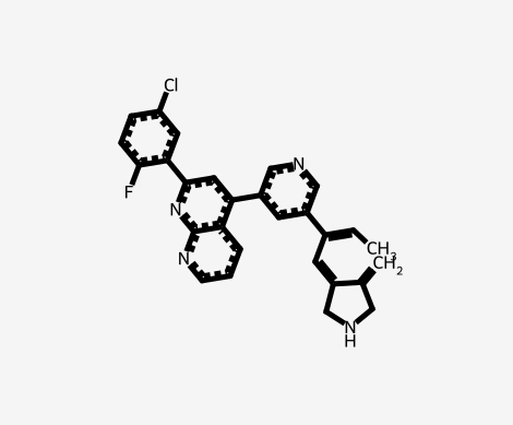 C=C1CNC/C1=C/C(=C\C)c1cncc(-c2cc(-c3cc(Cl)ccc3F)nc3ncccc23)c1